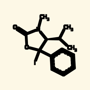 CC(C)[C@@H]1N(C)C(=O)OC1(I)c1ccccc1